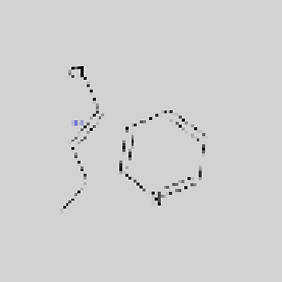 CC/C=C/Cl.c1ccncc1